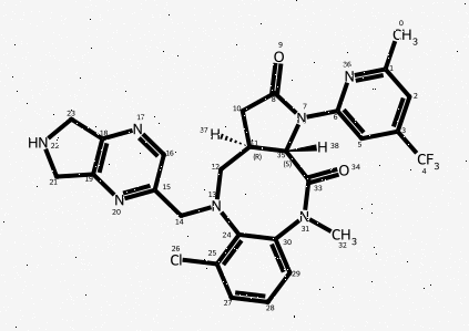 Cc1cc(C(F)(F)F)cc(N2C(=O)C[C@@H]3CN(Cc4cnc5c(n4)CNC5)c4c(Cl)cccc4N(C)C(=O)[C@H]32)n1